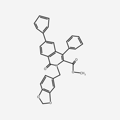 COC(=O)c1c(-c2ccccc2)c2cc(-c3ccccc3)ccc2c(=O)n1Cc1ccc2c(c1)OCO2